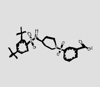 CC(C)(C)c1ccc(S(=O)(=O)NC2CCN(S(=O)(=O)c3cccc(C(=O)O)c3)CC2)c(C(C)(C)C)c1